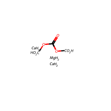 O=C(O)OC(=O)OC(=O)O.[CaH2].[CaH2].[MgH2]